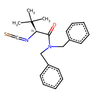 CC(C)(C)[C@H](N=C=S)C(=O)N(Cc1ccccc1)Cc1ccccc1